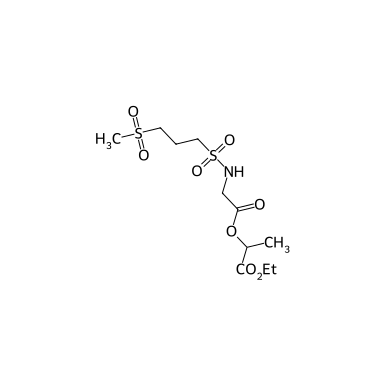 CCOC(=O)C(C)OC(=O)CNS(=O)(=O)CCCS(C)(=O)=O